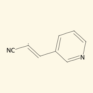 N#C[C]=Cc1cccnc1